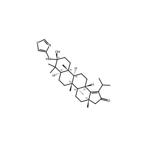 CC(C)C1=C2[C@H]3CC[C@@H]4[C@@]5(C)CC[C@@](O)(Nc6cscn6)C(C)(C)[C@@H]5CC[C@@]4(C)[C@]3(C)CC[C@@]2(C)CC1=O